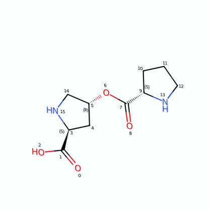 O=C(O)[C@@H]1C[C@@H](OC(=O)[C@@H]2CCCN2)CN1